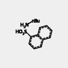 CCCCN.O=S(=O)(O)c1cccc2ccccc12